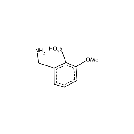 COc1cccc(CN)c1S(=O)(=O)O